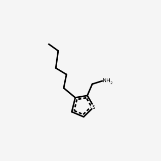 CCCCCc1ccsc1CN